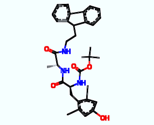 Cc1cc(O)cc(C)c1C[C@H](NC(=O)OC(C)(C)C)C(=O)N[C@H](C)C(=O)NCCC1c2ccccc2-c2ccccc21